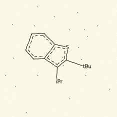 CC(C)c1c(C(C)(C)C)sc2ccccc12